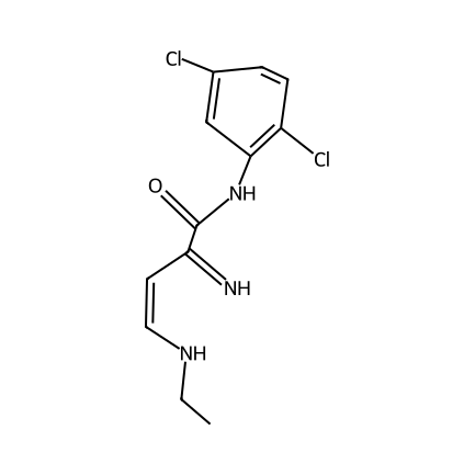 CCN/C=C\C(=N)C(=O)Nc1cc(Cl)ccc1Cl